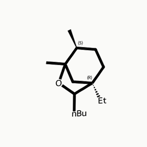 CCCCC1OC2(C)C[C@@]1(CC)CC[C@@H]2C